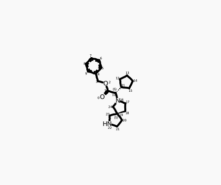 O=C(OCc1ccccc1)[C@H](C1CCCC1)N1CC[C@]2(CCNC2)C1